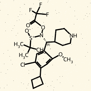 COc1cc(C2CCC2)c(Cl)cc1[C@@H](C1CCNCC1)N(OC(=O)C(F)(F)F)[S+]([O-])C(C)(C)C